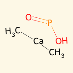 O=PO.[CH3][Ca][CH3]